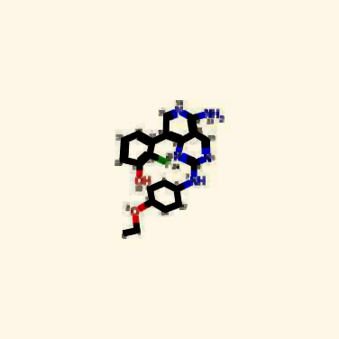 CCOC1CCC(Nc2ncc3c(N)ncc(-c4cccc(O)c4F)c3n2)CC1